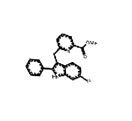 COC(=O)c1cccc(Cc2c(-c3ccccc3)[nH]c3cc(C(C)C)ccc23)n1